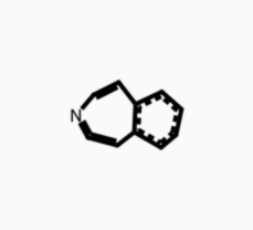 C1=Cc2ccccc2C=CN=1